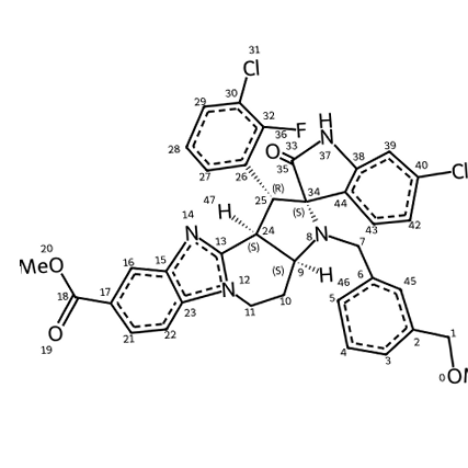 COCc1cccc(CN2[C@H]3CCn4c(nc5cc(C(=O)OC)ccc54)[C@H]3[C@H](c3cccc(Cl)c3F)[C@]23C(=O)Nc2cc(Cl)ccc23)c1